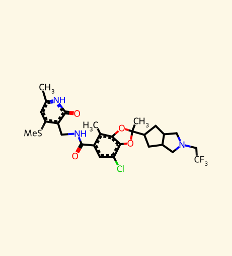 CSc1cc(C)[nH]c(=O)c1CNC(=O)c1cc(Cl)c2c(c1C)OC(C)(C1CC3CN(CC(F)(F)F)CC3C1)O2